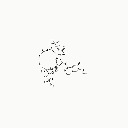 CCOc1cc2ccnc(O[C@@H]3C[C@H]4C(=O)N[C@]5(C(=O)NS(=O)(=O)C6CC6)C[C@H]5C=CCC[C@@H](C)C[C@@H](C)[C@H](N(C(=O)O)C(C)(C)C(F)(F)F)C(=O)N4C3)c2cc1F